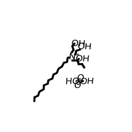 CCCCCCCCCCCCCCCC[N+](CCCO)(CCCO)CC(O)CCC.O=S(=O)(O)O